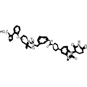 Cn1c(=O)n(C2CCC(=O)NC2=O)c2ccc(C3CCN(C(=O)Nc4cccc(CS(=O)(=O)N5CC[C@@H](Oc6ccccc6-c6ccsc6C(=O)O)CC5(C)C)c4)CC3)cc21